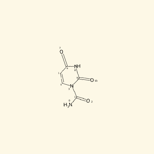 NC(=O)n1c[c]c(=O)[nH]c1=O